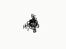 CC(C)(C)OC(=O)NC(C)(C)C(=O)NC(COc1ccccc1)C(=O)N1CCC2=NN(CC(F)F)C(=O)C2(Cc2ccccc2)C1